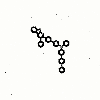 c1ccc(-c2ccc(-c3ccc(N(c4ccccc4)c4ccc(-c5ccc(-c6cc7sc8ccccc8c7cc6-c6ccccc6)cc5)cc4)cc3)cc2)cc1